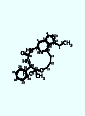 CCn1ncc2cc3nc(c21)CCCOC(C)(C)C(c1ccccc1)NC(=O)N3